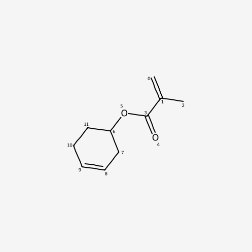 C=C(C)C(=O)OC1CC=CCC1